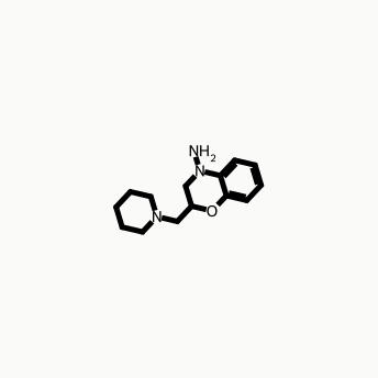 NN1CC(CN2CCCCC2)Oc2ccccc21